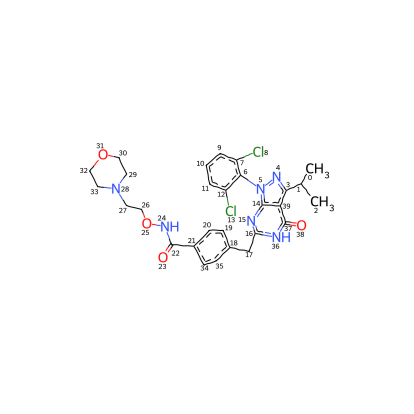 CC(C)c1nn(-c2c(Cl)cccc2Cl)c2nc(Cc3ccc(C(=O)NOCCN4CCOCC4)cc3)[nH]c(=O)c12